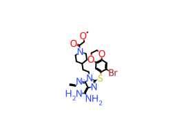 C=C/N=C1\C(=C(N)N)N=C(Sc2cc3c(cc2Br)OCCO3)N1CCC1CCN(C(=O)COC)CC1